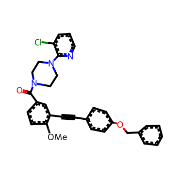 COc1ccc(C(=O)N2CCN(c3ncccc3Cl)CC2)cc1C#Cc1ccc(OCc2ccccc2)cc1